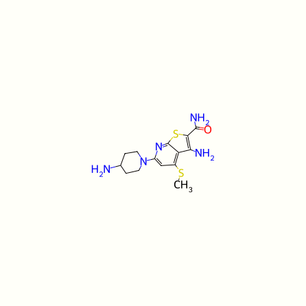 CSc1cc(N2CCC(N)CC2)nc2sc(C(N)=O)c(N)c12